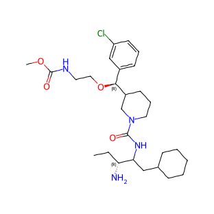 CC[C@@H](N)C(CC1CCCCC1)NC(=O)N1CCCC([C@@H](OCCNC(=O)OC)c2cccc(Cl)c2)C1